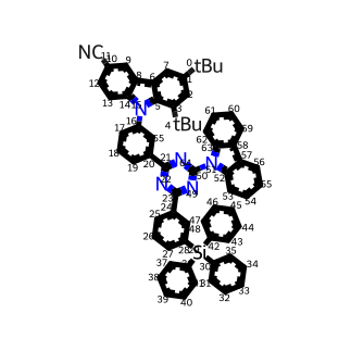 CC(C)(C)c1cc(C(C)(C)C)c2c(c1)c1cc(C#N)ccc1n2-c1cccc(-c2nc(-c3cccc([Si](c4ccccc4)(c4ccccc4)c4ccccc4)c3)nc(-n3c4ccccc4c4ccccc43)n2)c1